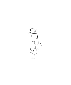 CC(=CC=Cc1ccccc1)C(=O)C1OCC(C)(C)CO1